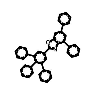 c1ccc(-c2cc(-c3ccccc3)c3nc(-c4cc(-c5ccccc5)c(-c5ccccc5)c(-c5ccccc5)c4)oc3c2)cc1